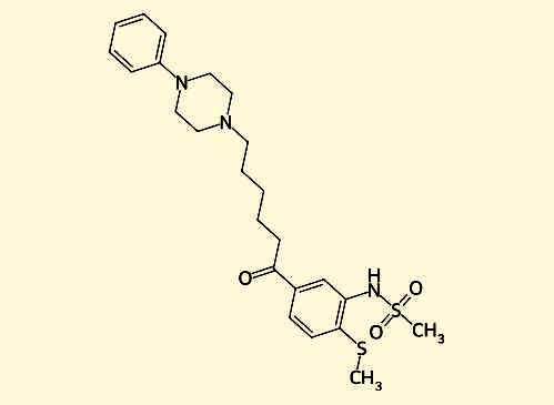 CSc1ccc(C(=O)CCCCCN2CCN(c3ccccc3)CC2)cc1NS(C)(=O)=O